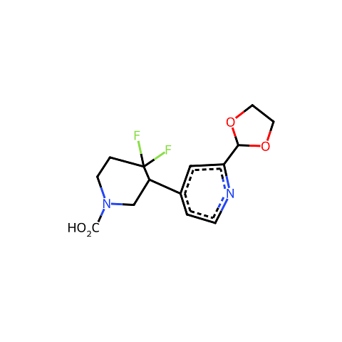 O=C(O)N1CCC(F)(F)C(c2ccnc(C3OCCO3)c2)C1